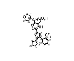 O=C(O)CC(NC(=O)c1cc(-c2ccccc2C(F)(F)F)n(C2CCCC2)n1)C(=O)NC1CCOCC1